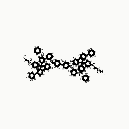 C=CCOc1ccc(C2(c3ccc(Oc4ccccc4)cc3)c3cc(-c4ccccc4)ccc3-c3ccc(N(c4ccccc4)c4ccc(-c5ccc(N(c6ccccc6)c6ccc7c(c6)C(c6ccc(OCC=C)cc6)(c6ccc(Oc8ccccc8)cc6)c6cc(-c8ccccc8)ccc6-7)cc5)cc4)cc32)cc1